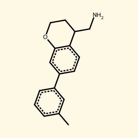 Cc1cccc(-c2ccc3c(c2)OCCC3CN)c1